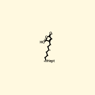 CCCCCCCCCCCCCC1=CC(=O)OC1O